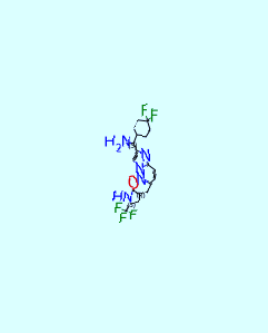 N[C@H](c1cn2nc(C[C@H]3C[C@@H](C(F)(F)F)NC3=O)ccc2n1)C1CCC(F)(F)CC1